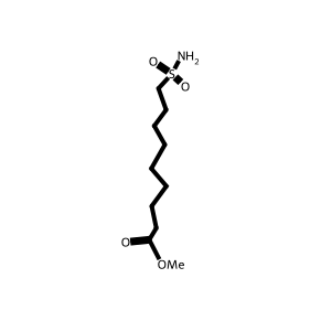 COC(=O)CCCCCCCCS(N)(=O)=O